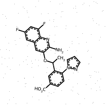 CC(Oc1cc2cc(F)cc(F)c2nc1N)c1cc(C(=O)O)ccc1-n1cccn1